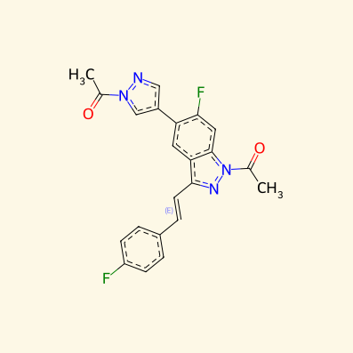 CC(=O)n1cc(-c2cc3c(/C=C/c4ccc(F)cc4)nn(C(C)=O)c3cc2F)cn1